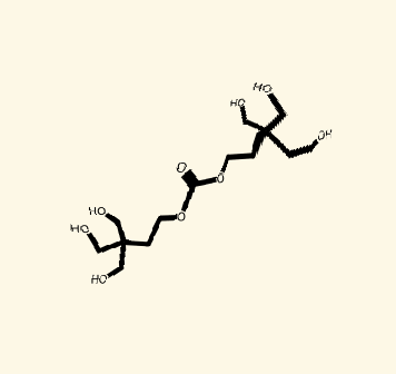 O=C(OCCC(CO)(CO)CO)OCCC(CO)(CO)CO